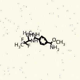 CNC(NC(O)C(C)(F)F)c1ccc(C(N)OC)cc1